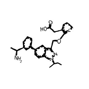 CC(N)c1cccc(-c2ccc3c(c2)c(COc2ccccc2CC(=O)O)nn3C(C)C)c1